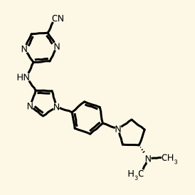 CN(C)[C@H]1CCN(c2ccc(-n3cnc(Nc4cnc(C#N)cn4)c3)cc2)C1